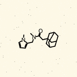 CN(Cc1cccn1C)C(=O)CC12CC3CC(CC(C3)C1)C2